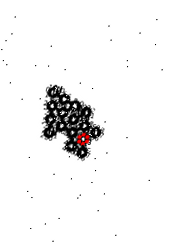 c1ccc(-c2ccc(-c3ccccc3-c3cc(-c4ccccc4-c4ccc(-c5ccccn5)cc4)cc(-c4cccc(-c5cc(-c6ccccc6-c6ccc(-c7ccccn7)cc6)cc(-c6ccccc6-c6ccc(-c7ccccn7)cc6)c5)c4-c4ccc(-c5ncccn5)cc4)c3)cc2)nc1